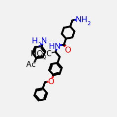 CC(=O)c1ccc(N)cc1.NCC1CCC(C(=O)N[C@@H](Cc2ccc(OCc3ccccc3)cc2)C(=O)O)CC1